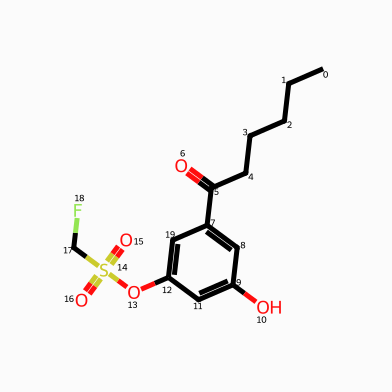 CCCCCC(=O)c1cc(O)cc(OS(=O)(=O)CF)c1